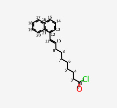 O=C(Cl)CCCCCCC/C=C/c1cccc2ccccc12